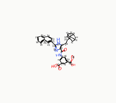 O=C(O)c1cc(NC(=O)c2nc(-c3ccc4ccccc4c3)[nH]c2CCC23CC4CC(CC(C4)C2)C3)cc(C(=O)O)c1